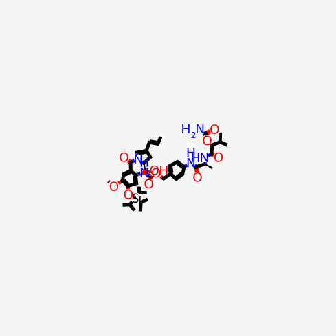 C/C=C/C1=CN(C(=O)c2cc(OC)c(O[Si](C(C)C)(C(C)C)C(C)C)cc2NC(=O)OCc2ccc(NC(=O)[C@H](C)NC(=O)[C@@H](OC(N)=O)C(C)C)cc2)[C@H](CO)C1